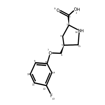 O=C(O)[C@@H]1C[C@H](COc2cccc(F)c2)CN1